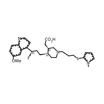 COc1ccc2nccc([C@H](F)CC[C@@H]3CCN(CCCSc4cccn4C)C[C@@H]3CC(=O)O)c2c1